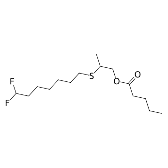 CCCCC(=O)OCC(C)SCCCCCCC(F)F